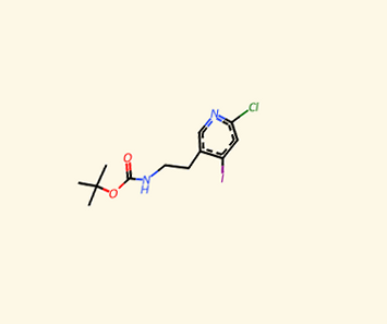 CC(C)(C)OC(=O)NCCc1cnc(Cl)cc1I